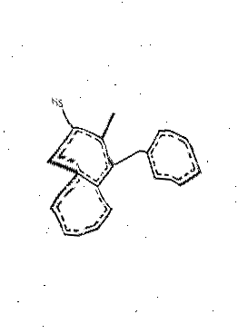 Cc1c(S)cc2ccccc2c1-c1ccccc1